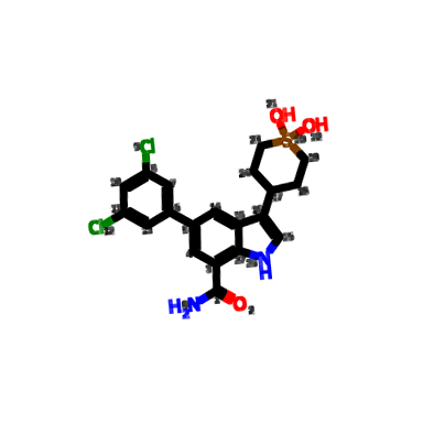 NC(=O)c1cc(-c2cc(Cl)cc(Cl)c2)cc2c(C3CCS(O)(O)CC3)c[nH]c12